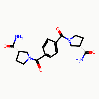 NC(=O)[C@H]1CCN(C(=O)c2ccc(C(=O)N3CC[C@H](C(N)=O)C3)cc2)C1